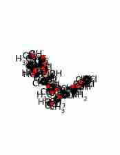 CC(C)(Oc1ccc(Oc2ccc(Cl)cc2Cl)cc1)C(=O)O.CC(Cl)(Cl)C(=O)O.COc1c(Cl)ccc(Cl)c1C(=O)O.Cc1cc(Cl)ccc1OCC(=O)O.Nc1cc(Cl)cc(C(=O)O)c1Cl.O=C(O)COc1ccc(Cl)cc1Cl.O=C(O)Cc1c(Cl)ccc(Cl)c1Cl.O=C(O)c1ccccc1C(=O)Nc1cccc2ccccc12